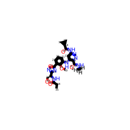 [2H]C([2H])([2H])NC(=O)c1nnc(NC(=O)C2CC2)cc1Nc1cccc(-c2nc([C@H](CO)NC(=O)CC)no2)c1OC